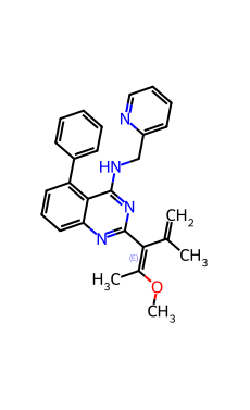 C=C(C)/C(=C(/C)OC)c1nc(NCc2ccccn2)c2c(-c3ccccc3)cccc2n1